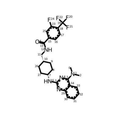 CN(C)c1nc(N[C@H]2CC[C@@H](CNC(=O)c3ccc(C(F)(F)F)c(F)c3)CC2)nc2ccccc12